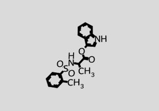 Cc1ccccc1S(=O)(=O)NC(C)C(=O)Oc1c[nH]c2ccccc12